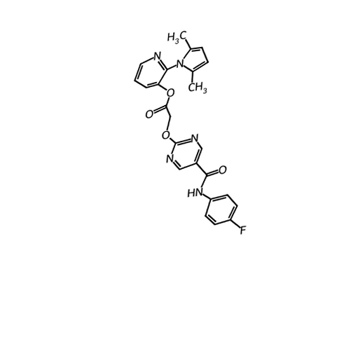 Cc1ccc(C)n1-c1ncccc1OC(=O)COc1ncc(C(=O)Nc2ccc(F)cc2)cn1